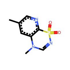 Cc1cnc2c(c1)N(C)C=NS2(=O)=O